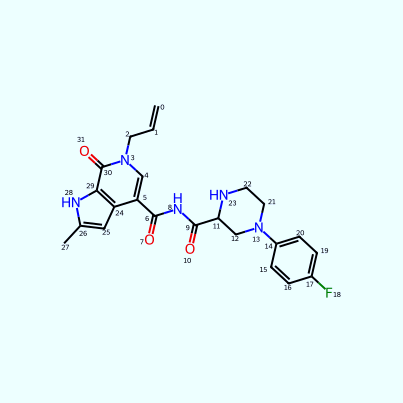 C=CCn1cc(C(=O)NC(=O)C2CN(c3ccc(F)cc3)CCN2)c2cc(C)[nH]c2c1=O